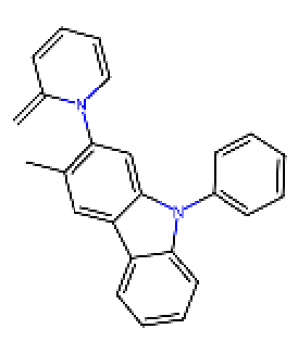 C=C1C=CC=CN1c1cc2c(cc1C)c1ccccc1n2-c1ccccc1